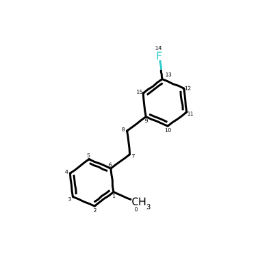 Cc1ccccc1CCc1cccc(F)c1